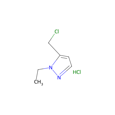 CCn1nccc1CCl.Cl